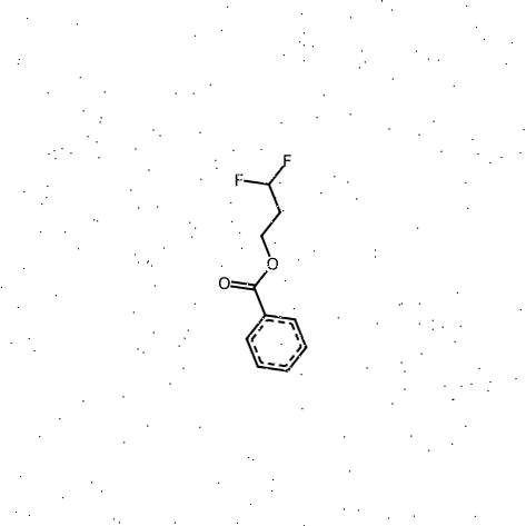 O=C(OCCC(F)F)c1ccccc1